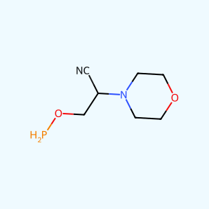 N#CC(COP)N1CCOCC1